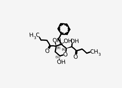 CCCC(=O)C(O)[C@H]1O[C@H](O)C[C@](O)(C(=O)CCC)[C@@]1(O)Cc1ccccc1